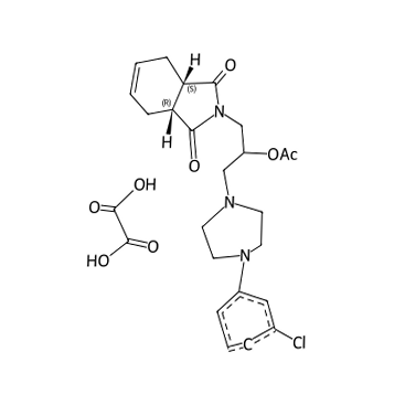 CC(=O)OC(CN1CCN(c2cccc(Cl)c2)CC1)CN1C(=O)[C@H]2CC=CC[C@H]2C1=O.O=C(O)C(=O)O